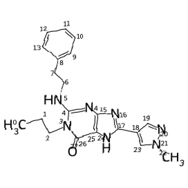 CCCn1c(NCCc2ccccc2)nc2nc(-c3cnn(C)c3)[nH]c2c1=O